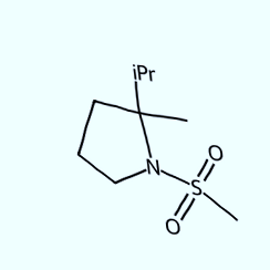 CC(C)C1(C)CCCN1S(C)(=O)=O